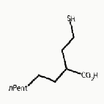 CCCCCCCC(CCS)C(=O)O